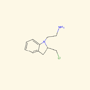 NCCN1c2ccccc2CC1CCl